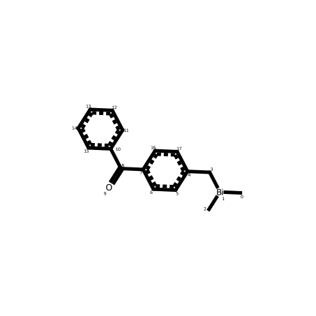 [CH3][Bi]([CH3])[CH2]c1ccc(C(=O)c2ccccc2)cc1